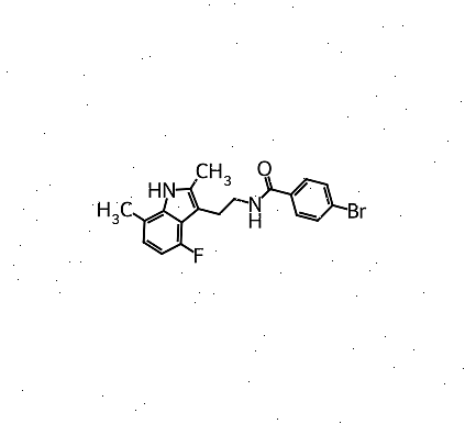 Cc1[nH]c2c(C)ccc(F)c2c1CCNC(=O)c1ccc(Br)cc1